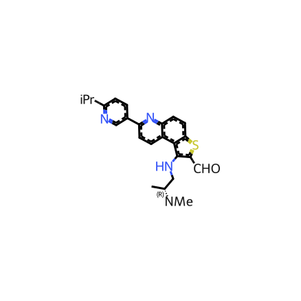 CN[C@H](C)CNc1c(C=O)sc2ccc3nc(-c4ccc(C(C)C)nc4)ccc3c12